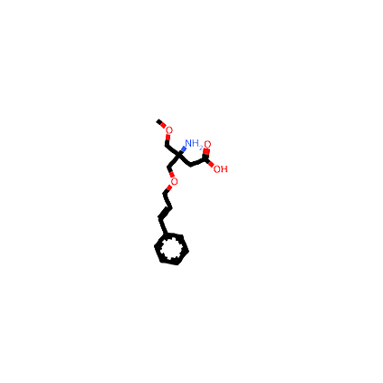 COCC(N)(COCC=Cc1ccccc1)CC(=O)O